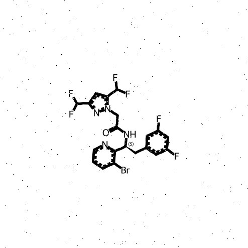 O=C(Cn1nc(C(F)F)cc1C(F)F)N[C@@H](Cc1cc(F)cc(F)c1)c1ncccc1Br